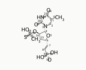 Cc1cn([C@@H]2O[C@H](/C=C/P(=O)(O)O)C[C@H]2OP(C)(O)=S)c(=O)[nH]c1=O